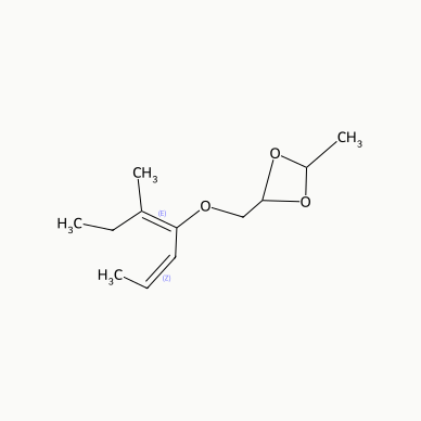 C/C=C\C(OCC1OC(C)O1)=C(\C)CC